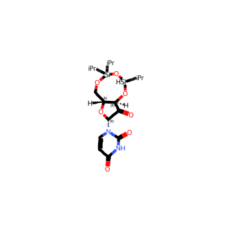 CC(C)[SiH]1O[C@H]2C(=O)[C@H](n3ccc(=O)[nH]c3=O)O[C@@H]2CO[Si](C(C)C)(C(C)C)O1